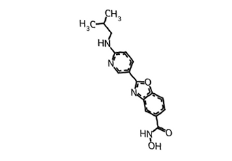 CC(C)CNc1ccc(-c2nc3cc(C(=O)NO)ccc3o2)cn1